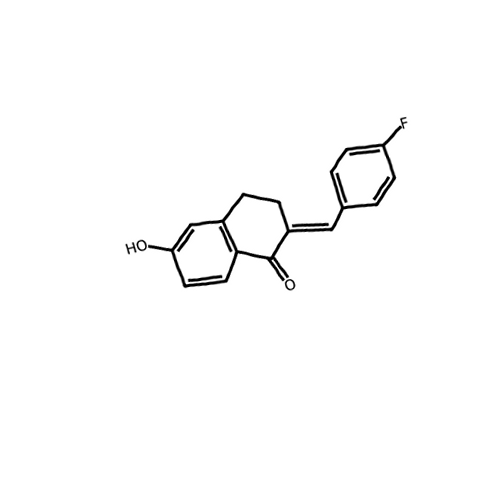 O=C1/C(=C/c2ccc(F)cc2)CCc2cc(O)ccc21